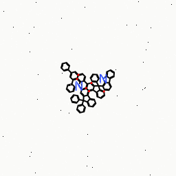 c1ccc(-c2cccc(-c3ccccc3N(c3ccc4c(c3)C(c3ccccc3)(c3ccccc3)c3ccccc3-4)c3ccccc3-c3ccc4c(c3)C3(c5ccccc5-4)c4ccccc4-n4c5ccccc5c5cccc3c54)c2)cc1